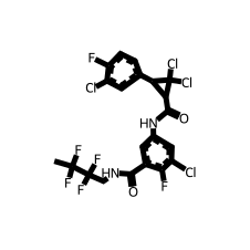 CC(F)(F)C(F)(F)CNC(=O)c1cc(NC(=O)C2C(c3ccc(F)c(Cl)c3)C2(Cl)Cl)cc(Cl)c1F